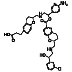 Nc1ccc(C(CNCC2CCc3cc(CCC(=O)O)ccc3O2)OC(=O)c2ccc3c(c2)CCC(CNCC(O)c2cccc(Cl)c2)O3)cn1